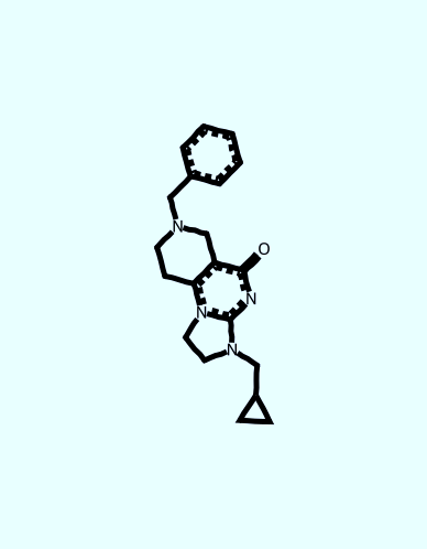 O=c1nc2n(c3c1CN(Cc1ccccc1)CC3)CCN2CC1CC1